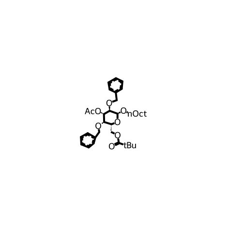 CCCCCCCCO[C@H]1O[C@H](COC(=O)C(C)(C)C)[C@H](OCc2ccccc2)[C@H](OC(C)=O)[C@H]1OCc1ccccc1